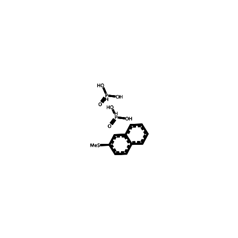 CSc1ccc2ccccc2c1.O=[PH](O)O.O=[PH](O)O